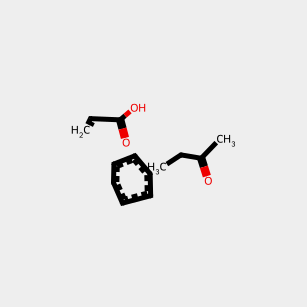 C=CC(=O)O.CCC(C)=O.c1ccccc1